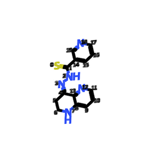 S=C(N/N=C1/CCNc2cccnc21)c1cccnc1